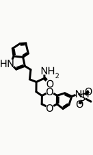 CS(=O)(=O)Nc1ccc2c(c1)OC(CC(CCc1c[nH]c3ccccc13)C(N)=O)CO2